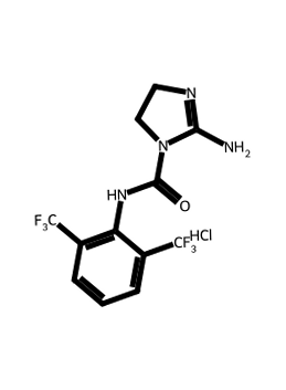 Cl.NC1=NCCN1C(=O)Nc1c(C(F)(F)F)cccc1C(F)(F)F